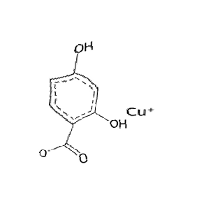 O=C([O-])c1ccc(O)cc1O.[Cu+]